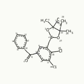 CC1(C)OB(c2cc(C(=O)c3ccccc3)cc(Cl)c2Cl)OC1(C)C